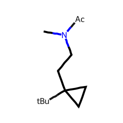 CC(=O)N(C)CCC1(C(C)(C)C)CC1